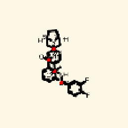 COc1cccc(C(=O)N[C@H]2C[C@H]3CC[C@@H](C2)N3c2ccc(C(=O)NCc3ccc(F)c(F)c3)cn2)c1C